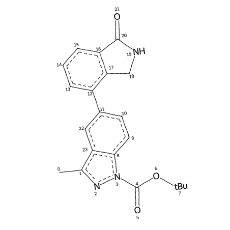 Cc1nn(C(=O)OC(C)(C)C)c2ccc(-c3cccc4c3CNC4=O)cc12